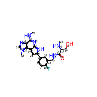 CNc1nc2[nH]c(-c3ccc(F)c(CNC(=O)[C@H](CO)NC)c3)cc2c2c1ncn2C